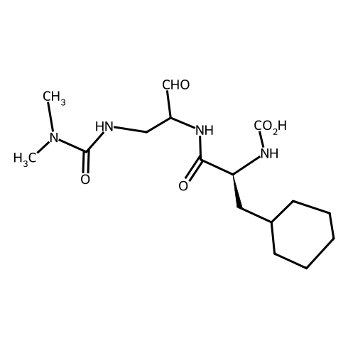 CN(C)C(=O)NCC(C=O)NC(=O)[C@H](CC1CCCCC1)NC(=O)O